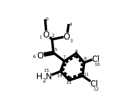 COC(OC)C(=O)c1cc(Cl)c(Cl)cc1N